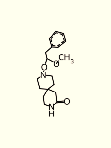 COC(Cc1ccccc1)ON1CCC2(CCNC(=O)C2)CC1